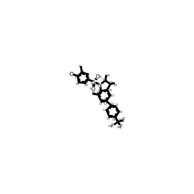 Cc1cc(S(=O)(=O)N2c3c(C)cc(-c4ccc(C(F)(F)F)cc4)cc3C(C)C2C)ccc1[O]